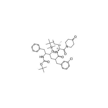 CC[C@H](C)[C@H](NC(=O)C(Cc1cccc(Cl)c1)CC(O[Si](C)(C)C(C)(C)C)C(Cc1ccccc1)NC(=O)OC(C)(C)C)C(=O)N1CCC(=O)CC1